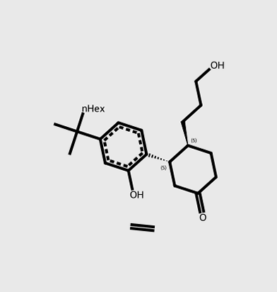 C=C.CCCCCCC(C)(C)c1ccc([C@H]2CC(=O)CC[C@@H]2CCCO)c(O)c1